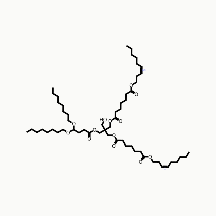 CCCCC/C=C\CCOC(=O)CCCCCC(=O)OCC(CO)(COC(=O)CCCCCC(=O)OCC/C=C\CCCCC)COC(=O)CCC(OCCCCCCCC)OCCCCCCCC